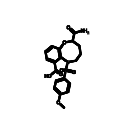 COc1ccc(S(=O)(=O)N2CCCC(C(N)=O)Oc3cccc(C(=O)O)c32)cc1